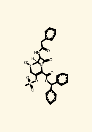 CS(=O)(=O)OC1=C(C(=O)OC(c2ccccc2)c2ccccc2)N2C(=O)C(NC(=O)Cc3ccccc3)[C@@H]2[S+]([O-])C1